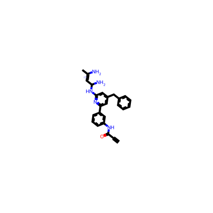 C#CC(=O)Nc1cccc(-c2cc(Cc3ccccc3)cc(NC(N)/C=C(/C)N)n2)c1